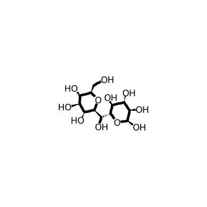 OC[C@H]1O[C@@H](C(O)[C@H]2O[C@H](O)[C@H](O)[C@@H](O)[C@@H]2O)[C@H](O)[C@@H](O)[C@H]1O